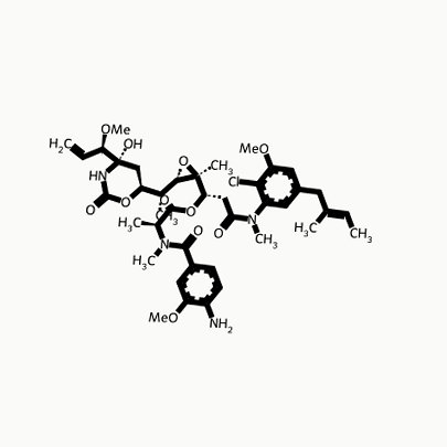 C=C[C@@H](OC)[C@@]1(O)C[C@@H]([C@@H](C)[C@@H]2O[C@@]2(C)[C@H](CC(=O)N(C)c2cc(C/C(C)=C/C)cc(OC)c2Cl)OC(=O)[C@H](C)N(C)C(=O)c2ccc(N)c(OC)c2)OC(=O)N1